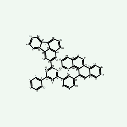 c1ccc(-c2nc(-c3cccc(-c4cc5ccccc5c5ccc6cccnc6c45)c3)nc(-c3cc4c5c(cccc5c3)-c3ccccc3-4)n2)cc1